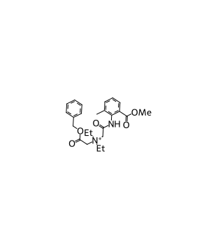 CC[N+](CC)(CC(=O)Nc1c(C)cccc1C(=O)OC)CC(=O)OCc1ccccc1